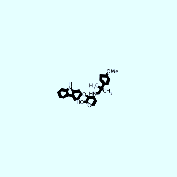 COc1ccc(C(C)(C)CNC2=C(Oc3ccc4c(c3)[nH]c3ccccc34)C(O)OC=C2)cc1